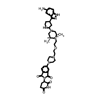 C[C@@H]1CN(C2CC(c3n[nH]c4ccc(N)cc34)CCN2)C[C@H](C)N1CCOCCN1CCN(c2ccc3c(c2)C(=O)N(C2CCC(=O)NC2=O)C3=O)CC1